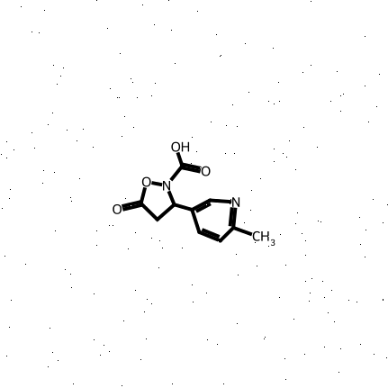 Cc1ccc(C2CC(=O)ON2C(=O)O)cn1